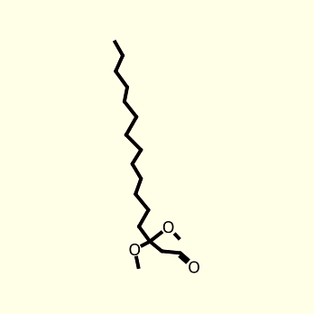 CCCCCCCCCCCCCC(CC=O)(OC)OC